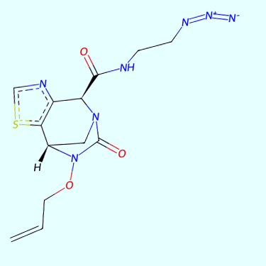 C=CCON1C(=O)N2C[C@H]1c1scnc1[C@H]2C(=O)NCCN=[N+]=[N-]